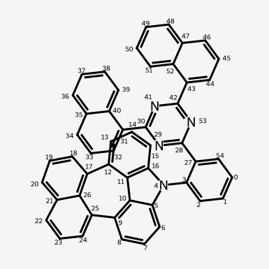 c1ccc(-n2c3cccc4c3c3c(cccc32)-c2cccc3cccc-4c23)c(-c2nc(-c3cccc4ccccc34)nc(-c3cccc4ccccc34)n2)c1